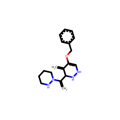 C=C1C(OCc2ccccc2)=CNNC1C(=C)N1CCCCN1